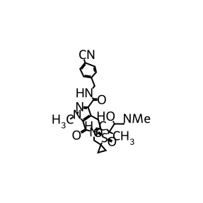 CNC[C@H](O)C(C)(C)S(=O)(=O)C1(CN2CCc3c(C(=O)NCc4ccc(C#N)cc4)nn(C)c3C2=O)CC1